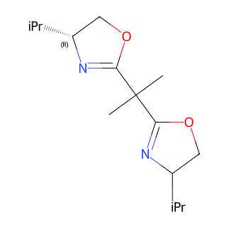 CC(C)C1COC(C(C)(C)C2=N[C@H](C(C)C)CO2)=N1